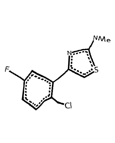 CNc1nc(-c2cc(F)ccc2Cl)cs1